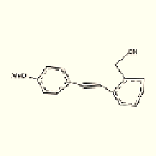 COc1ccc(C#Cc2ccccc2CC#N)cc1